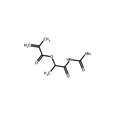 C=C(C)C(=O)OC(C)C(=O)NC(=O)C(C)(C)C